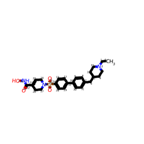 CCN1CCC(Cc2ccc(-c3ccc(S(=O)(=O)N4CC=C(C(=O)NO)CC4)cc3)cc2)CC1